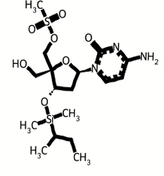 CCC(C)[Si](C)(C)O[C@H]1C[C@H](n2ccc(N)nc2=O)O[C@@]1(CO)COS(C)(=O)=O